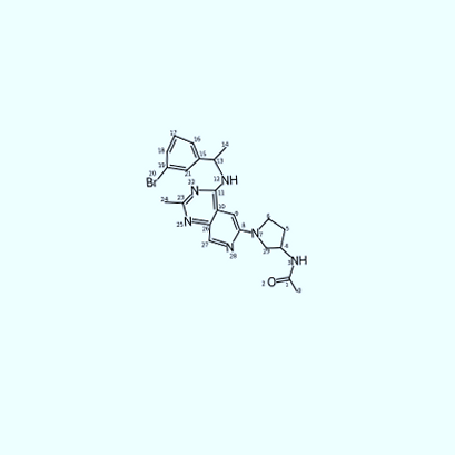 CC(=O)NC1CCN(c2cc3c(NC(C)c4cccc(Br)c4)nc(C)nc3cn2)C1